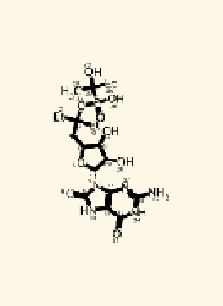 CCC(CC)(CC1O[C@@H](n2c(=O)[nH]c3c(=O)[nH]c(N)nc32)[C@H](O)C1O)OP(=O)(O)C(C)(O)CC